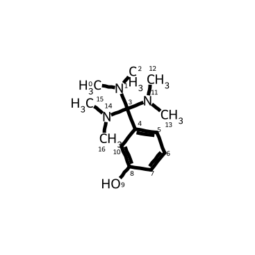 CN(C)C(c1cccc(O)c1)(N(C)C)N(C)C